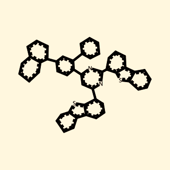 c1ccc(-c2cc(-c3cccc4ccccc34)ccc2-c2cc(-c3cccc4c3sc3ccccc34)nc(-c3cccc4c3sc3ccccc34)n2)cc1